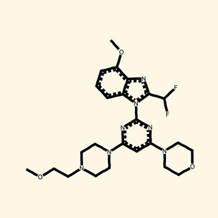 COCCN1CCN(c2cc(N3CCOCC3)nc(-n3c(C(F)F)nc4c(OC)cccc43)n2)CC1